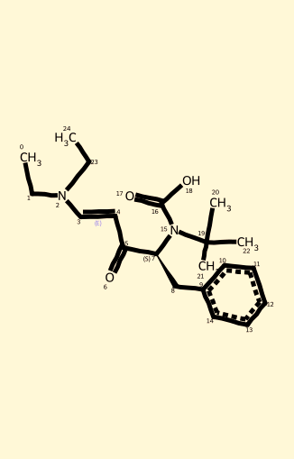 CCN(/C=C/C(=O)[C@H](Cc1ccccc1)N(C(=O)O)C(C)(C)C)CC